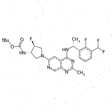 Cc1nc(N[C@H](C)c2cccc(C(F)F)c2F)c2cc(N3C[C@H](NC(=O)OC(C)(C)C)[C@@H](F)C3)ncc2n1